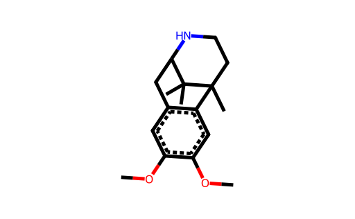 COc1cc2c(cc1OC)C1(C)CCNC(C2)C1(C)C